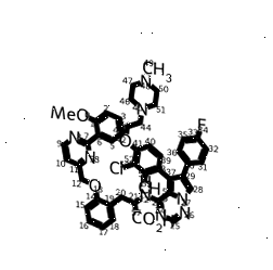 COc1ccccc1-c1nccc(COc2ccccc2CC(Nc2ncnn3cc(-c4ccc(F)cc4)c(-c4ccc(OCCN5CCN(C)CC5)c(Cl)c4C)c23)C(=O)O)n1